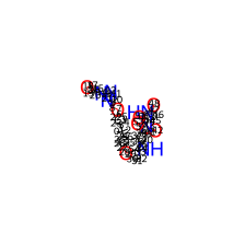 CC(C)(c1ccc(OCc2ccnc(N3CC4(COC4)C3)n2)cc1)c1ccc(OC2CCCC(Nc3ccc4c(c3)C(=O)N(C3CCC(=O)NC3=O)C4=O)C2)cc1